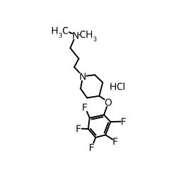 CN(C)CCCN1CCC(Oc2c(F)c(F)c(F)c(F)c2F)CC1.Cl